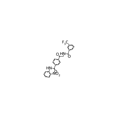 O=C(CNC(=O)c1cccc(C(F)(F)F)c1)c1ccc(C(=O)Nc2ccccc2[N+](=O)[O-])cc1